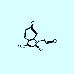 Cc1cc(=O)n(CC=O)c2cc(Cl)ccc12